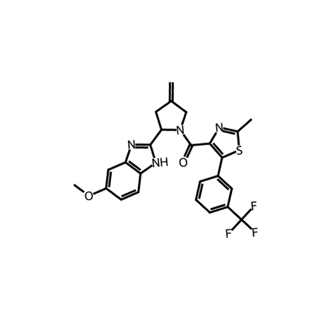 C=C1CC(c2nc3cc(OC)ccc3[nH]2)N(C(=O)c2nc(C)sc2-c2cccc(C(F)(F)F)c2)C1